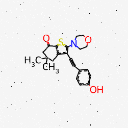 CC1(C)CC(=O)c2sc(N3CCOCC3)c(C#Cc3ccc(O)cc3)c2C1